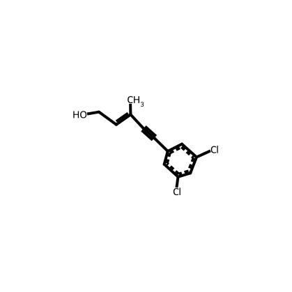 CC(C#Cc1cc(Cl)cc(Cl)c1)=CCO